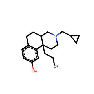 CCCC12CCN(CC3CC3)CC1CCc1ccc(O)cc12